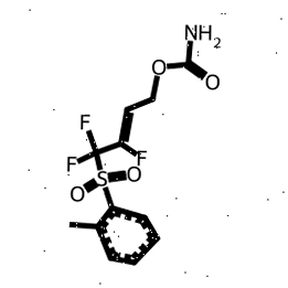 Cc1ccccc1S(=O)(=O)C(F)(F)/C(F)=C/COC(N)=O